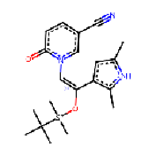 Cc1cc(/C(=C\n2cc(C#N)ccc2=O)O[Si](C)(C)C(C)(C)C)c(C)[nH]1